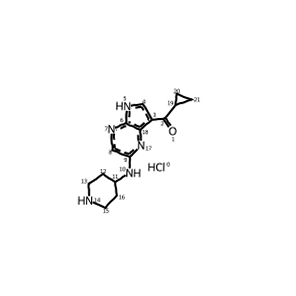 Cl.O=C(c1c[nH]c2ncc(NC3CCNCC3)nc12)C1CC1